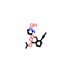 CC#Cc1cccc(C(=O)OC(C)C)c1COc1ccn(O)n1